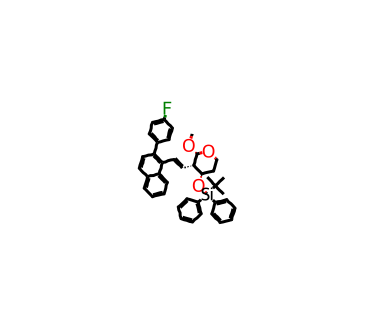 CO[C@@H]1OCC[C@H](O[Si](c2ccccc2)(c2ccccc2)C(C)(C)C)[C@@H]1/C=C/c1c(-c2ccc(F)cc2)ccc2ccccc12